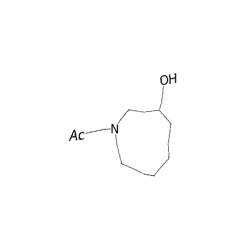 CC(=O)N1CCCCC(O)C1